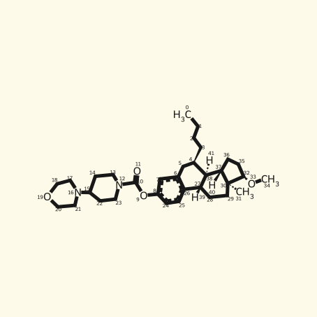 CCCC[C@@H]1Cc2cc(OC(=O)N3CCC(N4CCOCC4)CC3)ccc2[C@H]2CC[C@]3(C)[C@@H](OC)CC[C@H]3[C@H]12